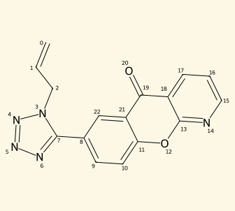 C=CCn1nnnc1-c1ccc2oc3ncccc3c(=O)c2c1